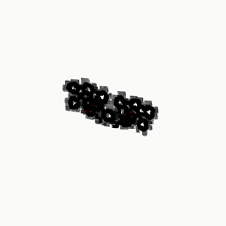 c1ccc(C2(c3ccccc3)c3ccccc3-c3ccc4c5cccc6c5n(c4c32)-c2cccc3c2B6c2cc4c(cc2S3)Sc2cccc3c2B4c2cccc4c5ccc6c(c5n-3c24)C(c2ccccc2)(c2ccccc2)c2ccccc2-6)cc1